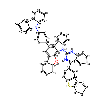 C1=Cc2c(sc3ccc(-c4nc(-n5c6ccccc6c6c(C7C=CC(n8c9ccccc9c9ccccc98)=CC7)cc7c8ccccc8oc7c65)nc5ccccc45)cc23)CC1